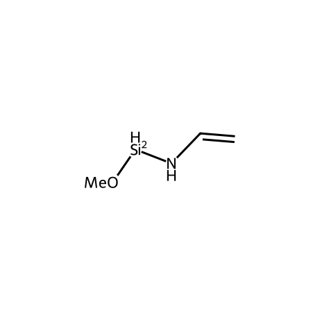 C=CN[SiH2]OC